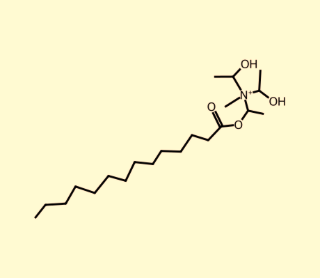 CCCCCCCCCCCCCC(=O)OC(C)[N+](C)(C(C)O)C(C)O